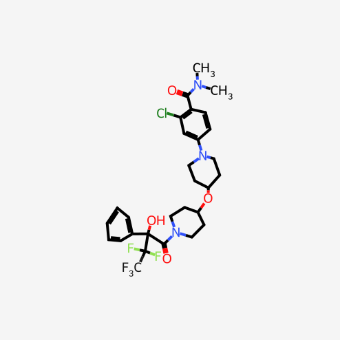 CN(C)C(=O)c1ccc(N2CCC(OC3CCN(C(=O)C(O)(c4ccccc4)C(F)(F)C(F)(F)F)CC3)CC2)cc1Cl